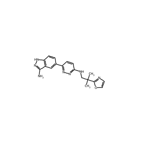 CC(C)(CNc1ccc(-c2ccc3[nH]nc(N)c3c2)nn1)c1ncco1